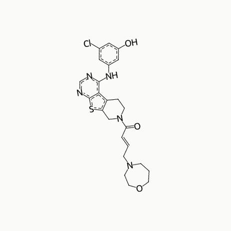 O=C(C=CCN1CCCOCC1)N1CCc2c(sc3ncnc(Nc4cc(O)cc(Cl)c4)c23)C1